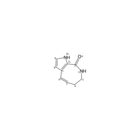 O=C1NCCC=Cc2cc[nH]c21